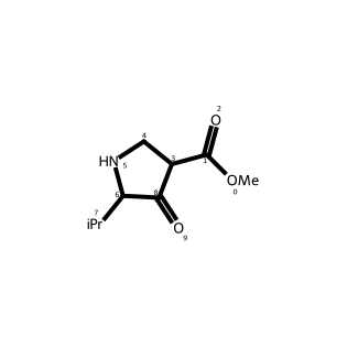 COC(=O)C1CNC(C(C)C)C1=O